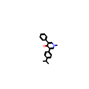 CC(C)c1ccc(-c2cn(C)cc(-c3ccccc3)c2=O)cc1